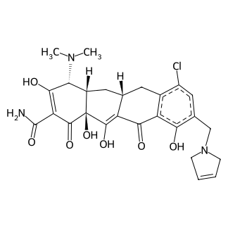 CN(C)[C@H]1C(O)=C(C(N)=O)C(=O)[C@@]2(O)C(O)=C3C(=O)c4c(O)c(CN5CC=CC5)cc(Cl)c4C[C@H]3C[C@@H]12